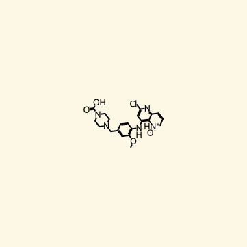 COc1cc(CN2CCN(C(=O)O)CC2)ccc1Nc1cc(Cl)nc2c1[NH+]([O-])CC=C2